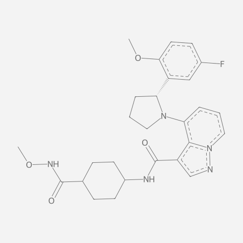 CONC(=O)C1CCC(NC(=O)c2cnn3cccc(N4CCC[C@@H]4c4cc(F)ccc4OC)c23)CC1